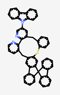 c1ccc2c(c1)Cc1cc(-n3c4ccccc4c4ccccc43)cnc1-c1ncccc1Cc1cc3c(cc1S2)C1(c2ccccc2-c2ccccc21)c1ccccc1-3